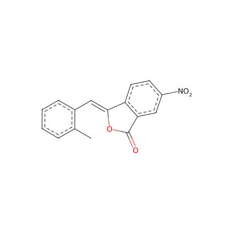 Cc1ccccc1/C=C1\OC(=O)c2cc([N+](=O)[O-])ccc21